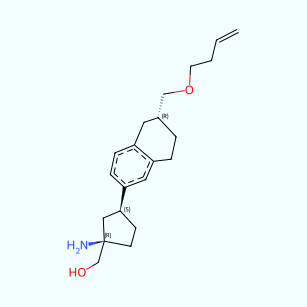 C=CCCOC[C@@H]1CCc2cc([C@H]3CC[C@](N)(CO)C3)ccc2C1